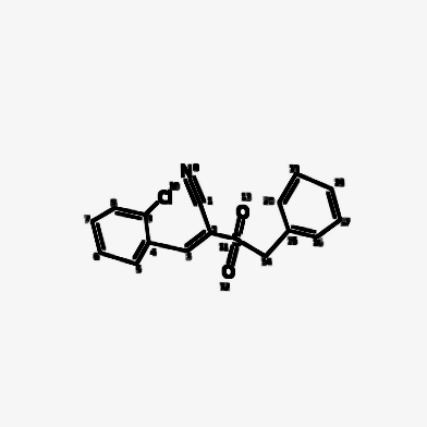 N#CC(=Cc1ccccc1Cl)S(=O)(=O)Cc1ccccc1